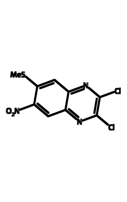 CSc1cc2nc(Cl)c(Cl)nc2cc1[N+](=O)[O-]